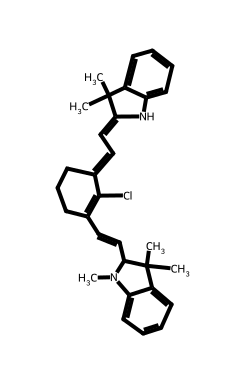 CN1c2ccccc2C(C)(C)C1/C=C/C1=C(Cl)C(=C/C=C2\Nc3ccccc3C2(C)C)/CCC1